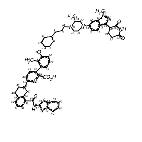 Cc1c(O[C@H]2CC[C@H](CCCN3CCN(c4ccc5c(C6CCC(=O)NC6=O)nn(C)c5c4)C[C@H]3C(F)(F)F)CC2)cccc1-c1ccc(N2CCc3cccc(C(=O)Nc4nc5ccccc5s4)c3C2)nc1C(=O)O